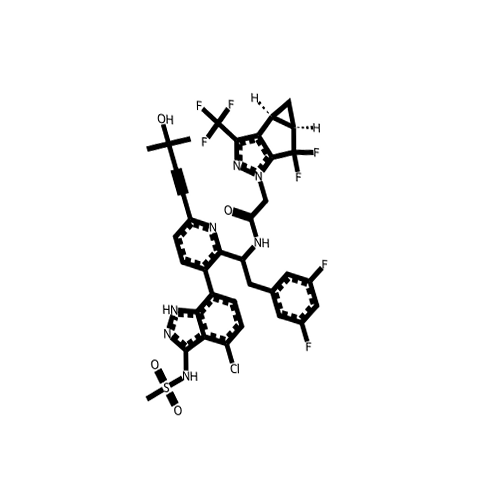 CC(C)(O)C#Cc1ccc(-c2ccc(Cl)c3c(NS(C)(=O)=O)n[nH]c23)c(C(Cc2cc(F)cc(F)c2)NC(=O)Cn2nc(C(F)(F)F)c3c2C(F)(F)[C@@H]2C[C@H]32)n1